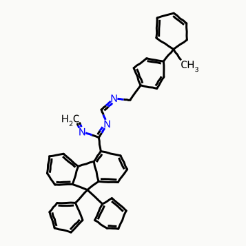 C=N/C(=N\C=N/Cc1ccc(C2(C)C=CC=CC2)cc1)c1cccc2c1-c1ccccc1C2(c1ccccc1)c1ccccc1